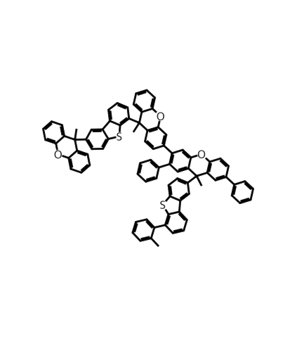 Cc1ccccc1-c1cccc2c1sc1ccc(C3(C)c4cc(-c5ccccc5)ccc4Oc4cc(-c5ccc6c(c5)Oc5ccccc5C6(C)c5cccc6c5sc5ccc(C7(C)c8ccccc8Oc8ccccc87)cc56)c(-c5ccccc5)cc43)cc12